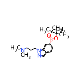 CN(C)CCCn1ncc2ccc(B3OC(C)(C)C(C)(C)O3)cc21